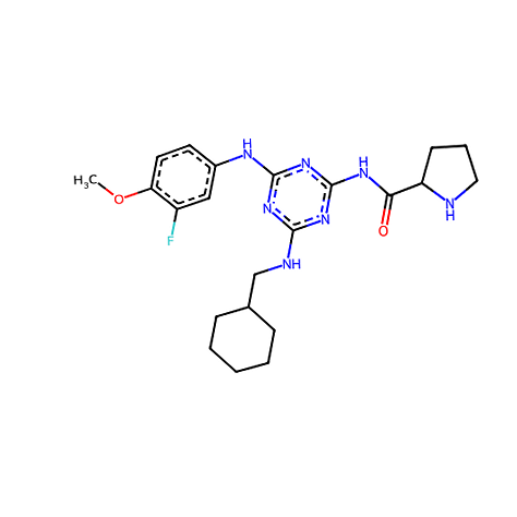 COc1ccc(Nc2nc(NCC3CCCCC3)nc(NC(=O)C3CCCN3)n2)cc1F